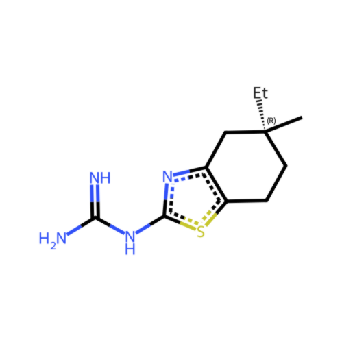 CC[C@]1(C)CCc2sc(NC(=N)N)nc2C1